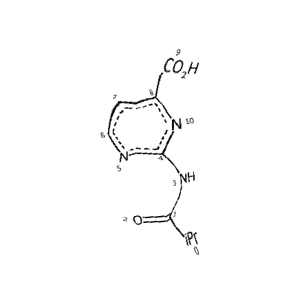 CC(C)C(=O)Nc1nccc(C(=O)O)n1